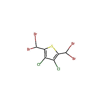 Clc1c(C(Br)Br)sc(C(Br)Br)c1Cl